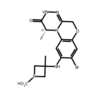 C[C@@H]1C(=O)NN=C2COc3cc(Br)c(NC4(C)CN(C(=O)O)C4)cc3N21